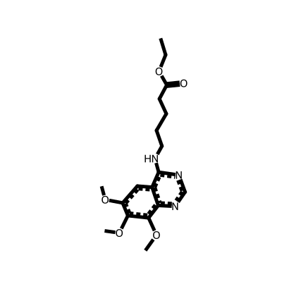 CCOC(=O)CCCCNc1ncnc2c(OC)c(OC)c(OC)cc12